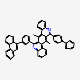 Cc1c2c(-c3cccc(-c4cc5ccccc5c5ccccc45)c3)nc3ccccc3c2c(C)c2c(-c3ccc(-c4ccccc4)cc3)nc3ccccc3c12